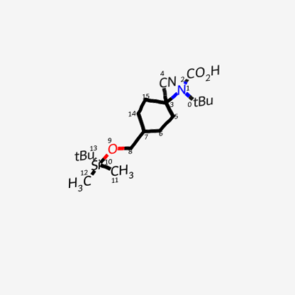 CC(C)(C)N(C(=O)O)C1(C#N)CCC(CO[Si](C)(C)C(C)(C)C)CC1